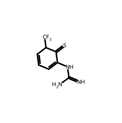 N=C(N)NC1=CC=CC(C(F)(F)F)C1=S